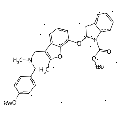 COc1ccc(CN(C)Cc2c(C)oc3c(OC4Cc5ccccc5N4C(=O)OC(C)(C)C)cccc23)cc1